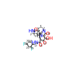 CC1(C)C[C@]2(CCCN3C[C@H]2n2cc(C(=O)NCc4ccc(F)cc4F)c(=O)c(O)c2C3=O)ON1